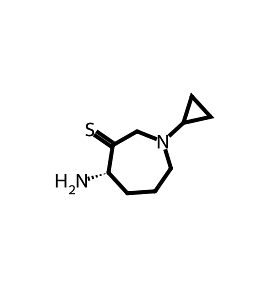 N[C@H]1CCCN(C2CC2)CC1=S